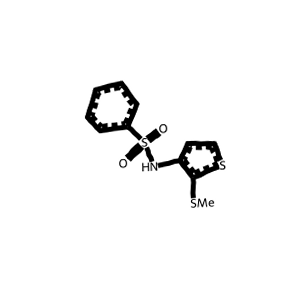 CSc1sccc1NS(=O)(=O)c1ccccc1